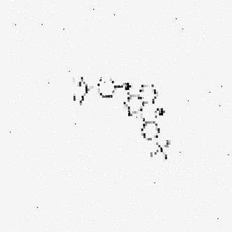 CN(C)[C@H]1CC[C@@H](Nc2nnc(-c3ccc(C(F)(F)F)cc3O)c3ccccc23)CC1